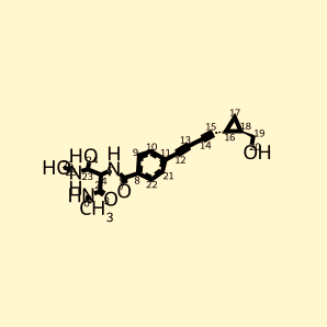 CNC(=O)C(NC(=O)c1ccc(C#CC#C[C@@H]2C[C@H]2CO)cc1)C(O)NO